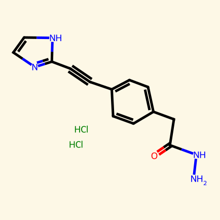 Cl.Cl.NNC(=O)Cc1ccc(C#Cc2ncc[nH]2)cc1